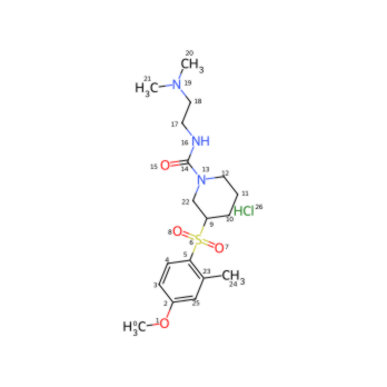 COc1ccc(S(=O)(=O)C2CCCN(C(=O)NCCN(C)C)C2)c(C)c1.Cl